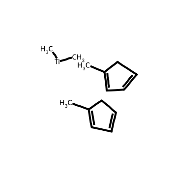 CC1=CC=CC1.CC1=CC=CC1.[CH3][Ti][CH3]